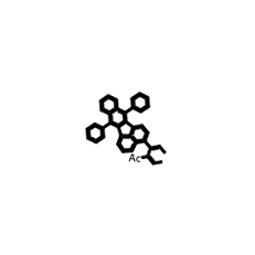 C/C=C(\C(=C/C)C(C)=O)c1ccc2c3c(cccc13)-c1c-2c(-c2ccccc2)c2ccccc2c1-c1ccccc1